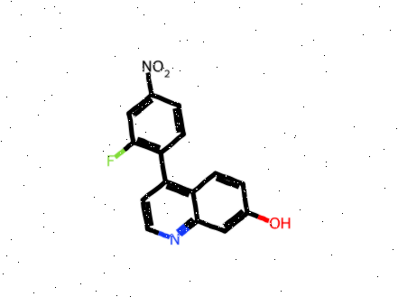 O=[N+]([O-])c1ccc(-c2ccnc3cc(O)ccc23)c(F)c1